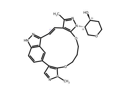 Cc1nn([C@H]2COCC[C@@H]2O)c2c1/C=C/c1n[nH]c3ccc(cc13)-c1cnn(C)c1OCCCO2